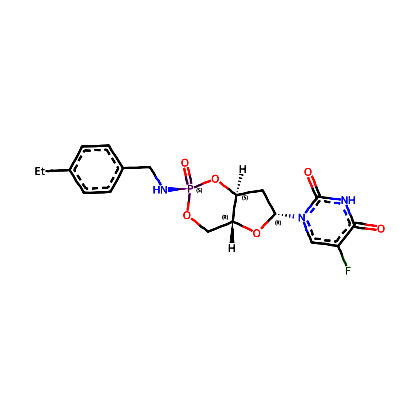 CCc1ccc(CN[P@]2(=O)OC[C@H]3O[C@@H](n4cc(F)c(=O)[nH]c4=O)C[C@@H]3O2)cc1